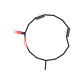 CC1CCC/C=C/CC/C=C\CC(=O)OCC1